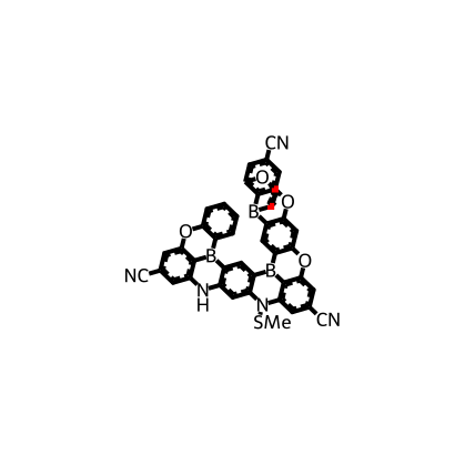 CSN1c2cc3c(cc2B2c4cc5c(cc4Oc4cc(C#N)cc1c42)Oc1cc(C#N)cc2c1B5c1ccccc1O2)B1c2ccccc2Oc2cc(C#N)cc(c21)N3